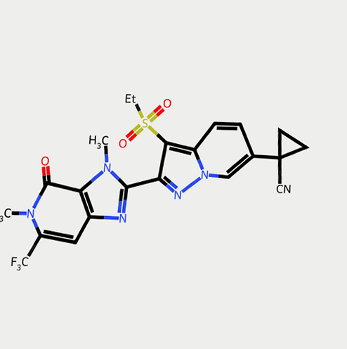 CCS(=O)(=O)c1c(-c2nc3cc(C(F)(F)F)n(C)c(=O)c3n2C)nn2cc(C3(C#N)CC3)ccc12